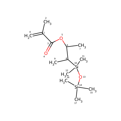 C=C(C)C(=O)OC(C)C(C)[Si](C)(C)O[Si](C)(C)C